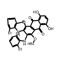 CCCCOc1c(Nc2c(CC)cccc2CC)c(Nc2c(CC)cccc2CC)c(F)c2c1C(=O)c1c(O)ccc(O)c1C2=O